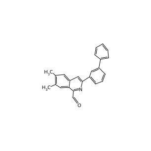 Cc1cc2cc(-c3cccc(-c4ccccc4)c3)nc(C=O)c2cc1C